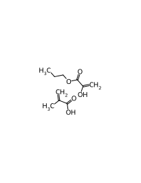 C=C(C)C(=O)O.C=C(O)C(=O)OCCC